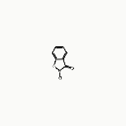 O=c1c2ccccc2on1Cl